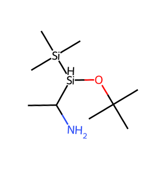 CC(N)[SiH](OC(C)(C)C)[Si](C)(C)C